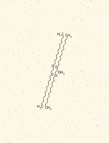 CCCCCCCCCCCCOCCOCCCCCCCCCCCC.CCCCCCCCCCCCOCCOCCCCCCCCCCCC.O